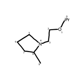 CC(C)OCCN1CCCC1C